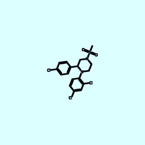 CS(=O)(=O)N1CCN(c2ccc(Cl)cc2Cl)C(c2ccc(Cl)cc2)C1